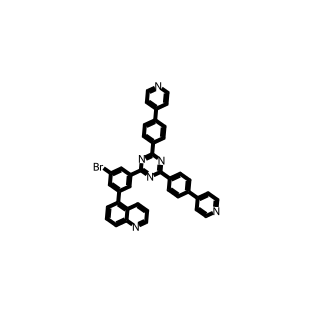 Brc1cc(-c2nc(-c3ccc(-c4ccncc4)cc3)nc(-c3ccc(-c4ccncc4)cc3)n2)cc(-c2cccc3ncccc23)c1